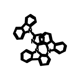 c1cc(-n2c3ccccc3c3ccccc32)nc(-n2c3ccccc3c3cccc(-n4c5ccccc5c5ccccc54)c32)c1